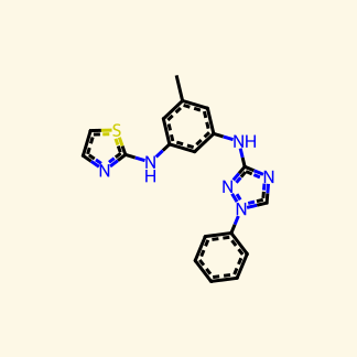 Cc1cc(Nc2ncn(-c3ccccc3)n2)cc(Nc2nccs2)c1